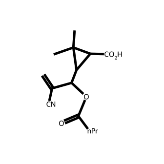 C=C(C#N)C(OC(=O)CCC)C1C(C(=O)O)C1(C)C